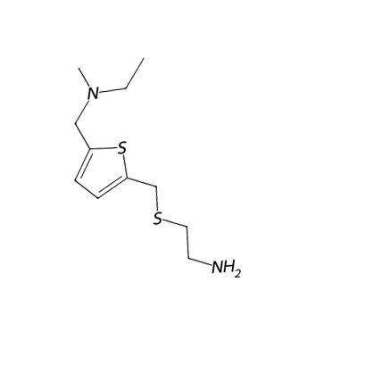 CCN(C)Cc1ccc(CSCCN)s1